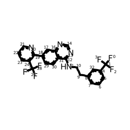 FC(F)(F)c1cccc(CCNc2ncnc3cc(-c4ncccc4C(F)(F)F)ccc23)c1